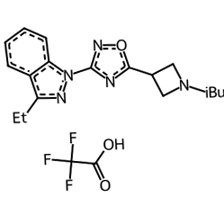 CCc1nn(-c2noc(C3CN(C(C)CC)C3)n2)c2ccccc12.O=C(O)C(F)(F)F